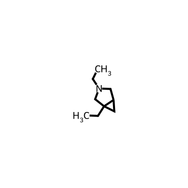 CCN1CC2CC2(CC)C1